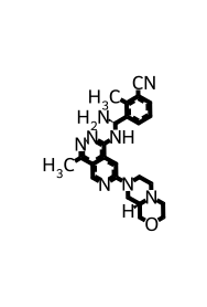 Cc1c(C#N)cccc1[C@@H](N)Nc1nnc(C)c2cnc(N3CCN4CCOC[C@@H]4C3)cc12